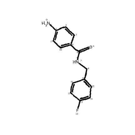 Nc1ccc(C(=O)NCc2ccc(F)cc2)cc1